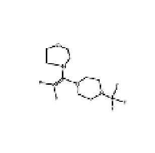 FC(F)=C(N1CCOCC1)N1CCN(C(F)(F)F)CC1